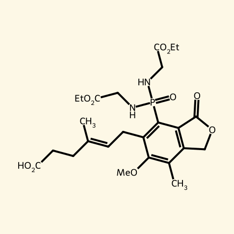 CCOC(=O)CNP(=O)(NCC(=O)OCC)c1c(C/C=C(\C)CCC(=O)O)c(OC)c(C)c2c1C(=O)OC2